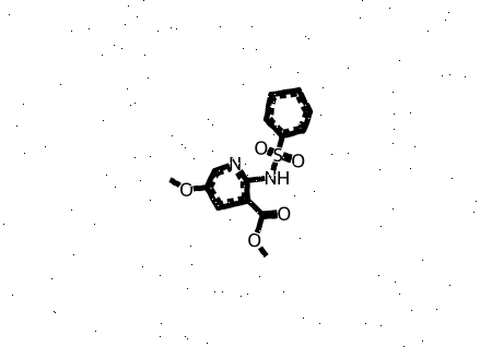 COC(=O)c1cc(OC)cnc1NS(=O)(=O)c1ccccc1